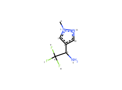 Cn1cc(C(N)C(F)(F)F)cn1